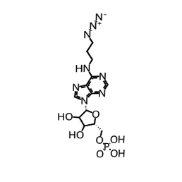 [N-]=[N+]=NCCCNc1ncnc2c1ncn2[C@@H]1O[C@H](COP(=O)(O)O)C(O)C1O